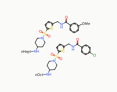 CCCCCCCCNC1CCN(S(=O)(=O)c2ccc(CNC(=O)c3ccc(Cl)cc3)s2)CC1.CCCCCCCNC1CCN(S(=O)(=O)c2ccc(CNC(=O)c3cccc(OC)c3)s2)CC1